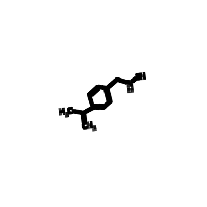 C=C(C)c1ccc(CNS)cc1